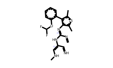 C=N/C(=N\c1c(C)sc(C)c1-c1ccccc1OC(F)F)N/C(C=N)=C/NC